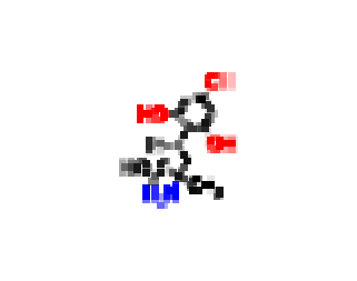 CCC(CC(C)(N)C(=O)O)c1c(O)cc(O)cc1O